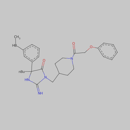 CBc1cccc(C2(CCCC)NC(=N)N(CC3CCN(C(=O)COc4ccccc4)CC3)C2=O)c1